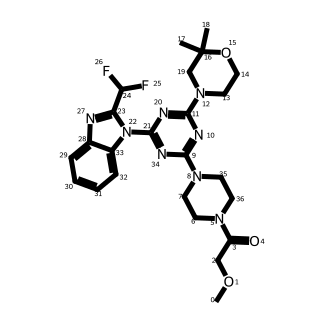 COCC(=O)N1CCN(c2nc(N3CCOC(C)(C)C3)nc(-n3c(C(F)F)nc4ccccc43)n2)CC1